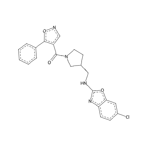 O=C(c1cnoc1-c1ccccc1)N1CCC(CNc2nc3ccc(Cl)cc3o2)C1